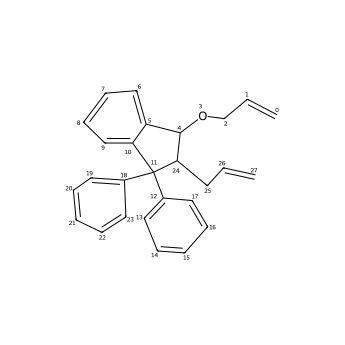 C=CCOC1c2ccccc2C(c2ccccc2)(c2ccccc2)C1CC=C